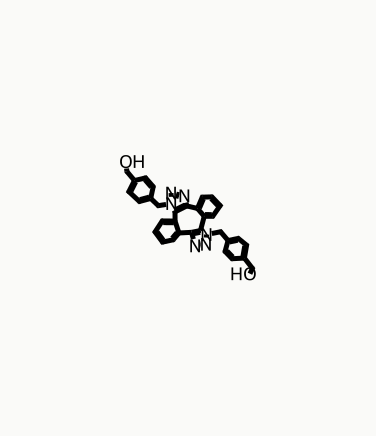 OCc1ccc(Cn2nnc3c2-c2ccccc2-c2nnn(Cc4ccc(CO)cc4)c2-c2ccccc2-3)cc1